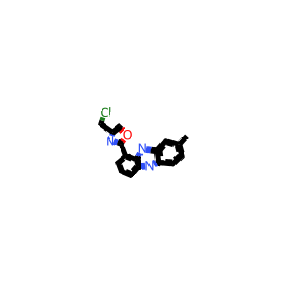 Cc1ccc2nc3cccc(-c4nc(CCl)co4)c3nc2c1